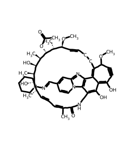 COC1C#CC(O)=c2c(O)c3c4c(nc5cc(/C=N/N6CCCCC6)ccn54)c2=C1CC/C=C/[C@H](OC)[C@@H](C)[C@@H](OC(C)=O)[C@H](C)[C@H](O)[C@H](C)[C@@H](O)[C@@H](C)/C=C/C=C(/C)C(=O)N3